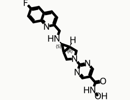 O=C(NO)c1cnc(N2CC3[C@H](C2)[C@H]3NCc2ccc3cc(F)ccc3n2)nc1